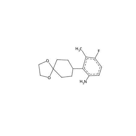 Cc1c(F)ccc(N)c1C1CCC2(CC1)OCCO2